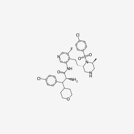 C[C@H]1CNC[C@H](CCc2c(F)cncc2NC(=O)[C@@H](N)C(c2ccc(Cl)cc2)C2CCOCC2)N1S(=O)(=O)c1ccc(Cl)cc1